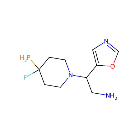 NCC(c1cnco1)N1CCC(F)(P)CC1